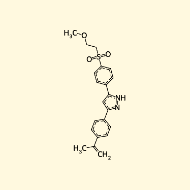 C=C(C)c1ccc(-c2cc(-c3ccc(S(=O)(=O)CCOC)cc3)[nH]n2)cc1